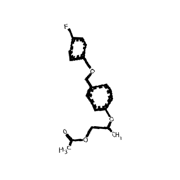 CC(=O)OCC(C)Oc1ccc(COc2ccc(F)cc2)cc1